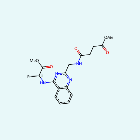 COC(=O)CCC(=O)NCc1nc(N[C@H](C(=O)OC)C(C)C)c2ccccc2n1